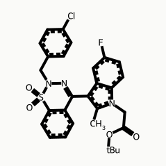 Cc1c(C2=NN(Cc3ccc(Cl)cc3)S(=O)(=O)c3ccccc32)c2cc(F)ccc2n1CC(=O)OC(C)(C)C